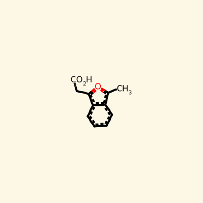 Cc1oc(CC(=O)O)c2ccccc12